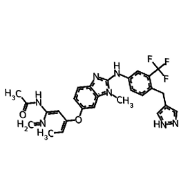 C=N/C(=C\C(=C/C)Oc1ccc2nc(Nc3ccc(Cc4cn[nH]c4)c(C(F)(F)F)c3)n(C)c2c1)NC(C)=O